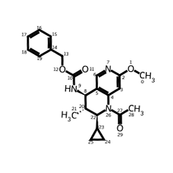 COc1cc2c(cn1)[C@H](NC(=O)OCc1ccccc1)[C@@H](C)[C@H](C1CC1)N2C(C)=O